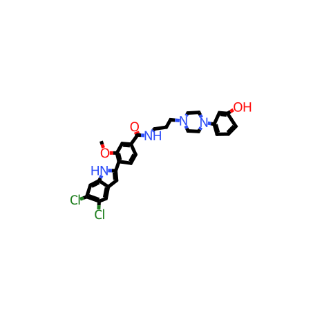 COc1cc(C(=O)NCCCN2CCN(c3cccc(O)c3)CC2)ccc1-c1cc2cc(Cl)c(Cl)cc2[nH]1